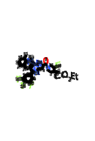 CCOC(=O)CC1CCN(C(=O)c2cc3nc(-c4cc(F)c(F)c(F)c4)cc(N(C)c4c(C)cccc4C)n3n2)CC1F